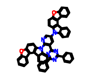 c1ccc(-c2nc(-c3ccccc3)nc(-c3cc(-n4c5ccccc5c5c6c(ccc54)oc4ccccc46)cnc3-n3c4ccccc4c4c5c(ccc43)oc3ccccc35)n2)cc1